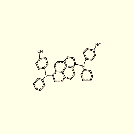 [C-]#[N+]c1ccc(N(c2ccccc2)c2ccc3ccc4c(N(c5ccccc5)c5ccc(C#N)cc5)ccc5ccc2c3c54)cc1